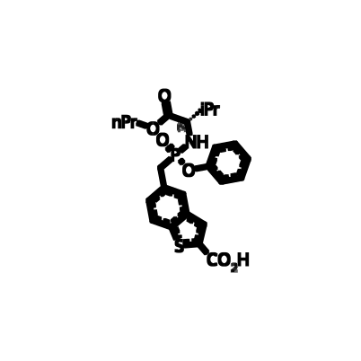 CCCOC(=O)[C@@H](NP(=O)(Cc1ccc2sc(C(=O)O)cc2c1)Oc1ccccc1)C(C)C